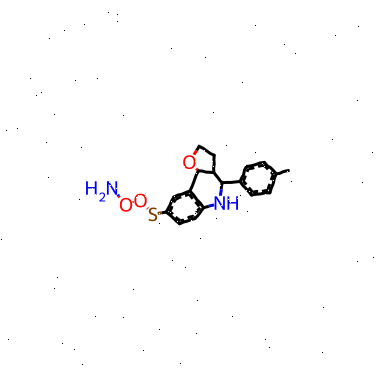 Cc1ccc(C2Nc3ccc(SOON)cc3C3OCCC23)cc1